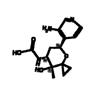 C[C@@]1(O)[C@H](NC(=O)O)C[C@@H](c2ccncc2N)OC12CC2